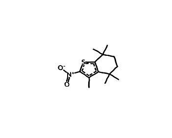 Cc1c([N+](=O)[O-])sc2c1C(C)(C)CCC2(C)C